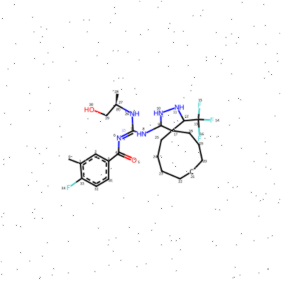 Cc1cc(C(=O)/N=C(\NC2NNC(C(F)(F)F)C23CCCCCCCC3)N[C@H](C)CO)ccc1F